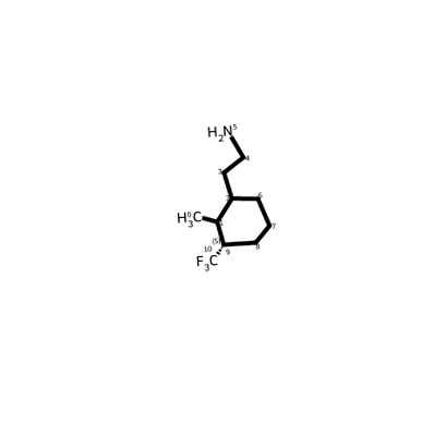 CC1C(CCN)CCC[C@@H]1C(F)(F)F